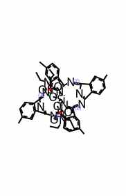 CCN(CC)S(=O)(=O)O[Si]1(OS(=O)(=O)N(CC)CC)n2c3c4cc(C)ccc4c2/N=C2N=C(/N=c4/c5cc(C)ccc5/c(n41)=N/C1=NC(=N\3)/c3ccc(C)cc31)c1ccc(C)cc1\2